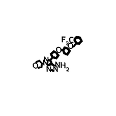 Nc1ncnc2c1c(-c1ccc(Oc3cccc(OCc4ccccc4C(F)(F)F)c3)cc1)nn2C1CCOCC1